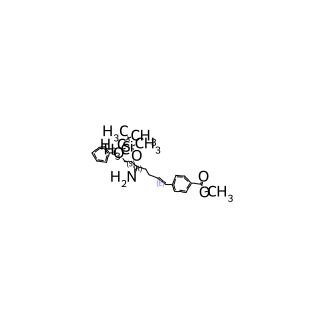 COC(=O)c1ccc(/C=C/CC[C@@H](N)[C@@H](COc2ccccc2)O[Si](C)(C)C(C)(C)C)cc1